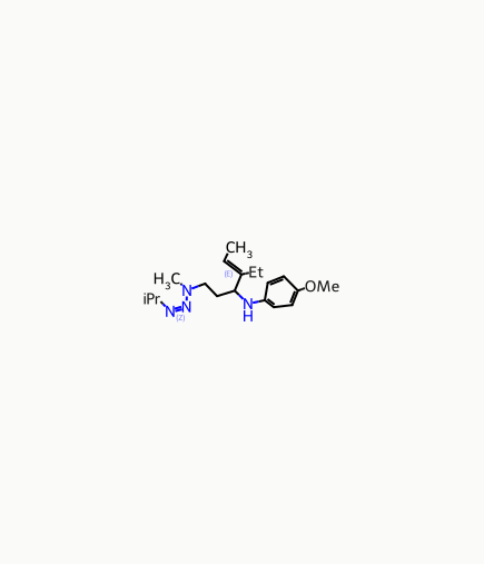 C/C=C(\CC)C(CCN(C)/N=N\C(C)C)Nc1ccc(OC)cc1